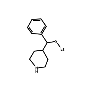 CCSC(c1ccccc1)C1CCNCC1